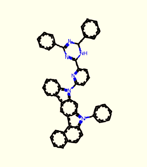 c1ccc(C2=NC(c3ccccc3)NC(c3cccc(-n4c5ccccc5c5cc6c7c8ccccc8ccc7n(-c7ccccc7)c6cc54)n3)=N2)cc1